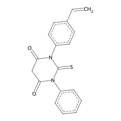 C=Cc1ccc(N2C(=O)CC(=O)N(c3ccccc3)C2=S)cc1